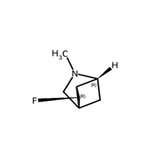 CN1CC23C[C@@H]1C2[C@H]3F